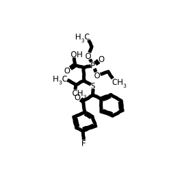 CCOP(=O)(OCC)C(C(=O)O)C(SC(C(=O)c1ccc(F)cc1)c1ccccc1)C(C)C